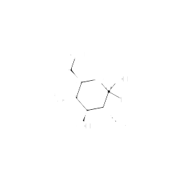 N[C@@H]1[C@@H](O)[C@H](O)[C@@H](CO)OC1(O)Br